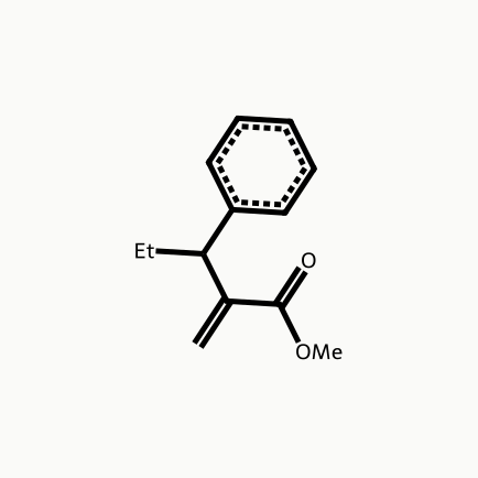 C=C(C(=O)OC)C(CC)c1ccccc1